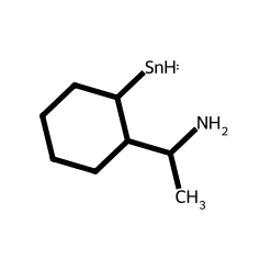 CC(N)C1CCCC[CH]1[SnH]